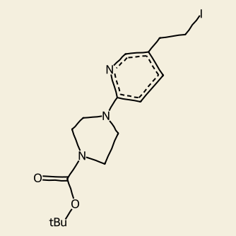 CC(C)(C)OC(=O)N1CCN(c2ccc(CCI)cn2)CC1